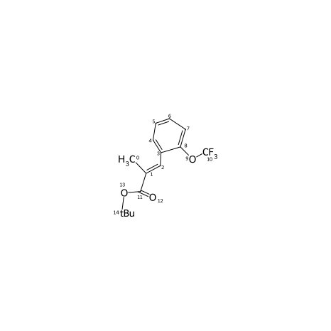 C/C(=C\c1ccccc1OC(F)(F)F)C(=O)OC(C)(C)C